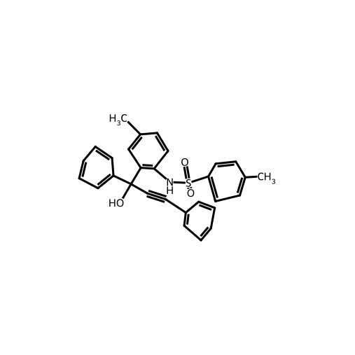 Cc1ccc(S(=O)(=O)Nc2ccc(C)cc2C(O)(C#Cc2ccccc2)c2ccccc2)cc1